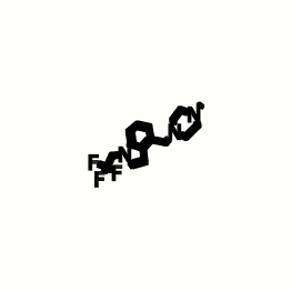 CN1CCN(Cc2cccc3c2ccn3CC(F)(F)F)CC1